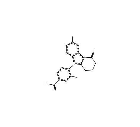 NC(=O)c1ccc(-n2c3c(c4cc(C=O)ccc42)C(=O)CCC3)c(Cl)c1